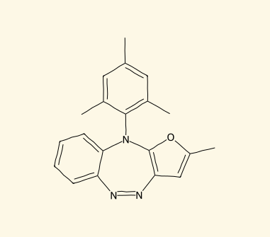 Cc1cc(C)c(N2c3ccccc3N=Nc3cc(C)oc32)c(C)c1